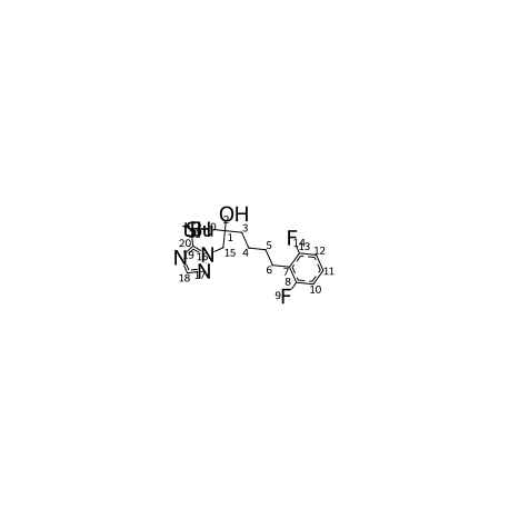 CC(C)(C)C(O)(CCCCc1c(F)cccc1F)Cn1ncnc1S